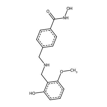 COc1cccc(O)c1CNCc1ccc(C(=O)NO)cc1